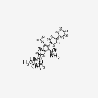 CC(C)(C)NC(=O)N1CCn2c(c(C(N)=O)c(-c3ccc(-c4ccccc4)cc3)c2C2CC2)C1